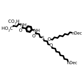 CCCCCCCCCCCCCCCCCCOCC(CSCCC(=O)Nc1ccc(C(=O)N[C@@H](CCC(=O)O)C(=O)O)cc1)OCCCCCCCCCCCCCCCCCC